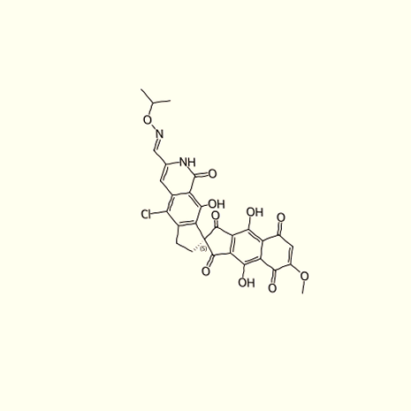 COC1=CC(=O)c2c(O)c3c(c(O)c2C1=O)C(=O)[C@]1(CCc2c1c(O)c1c(=O)[nH]c(C=NOC(C)C)cc1c2Cl)C3=O